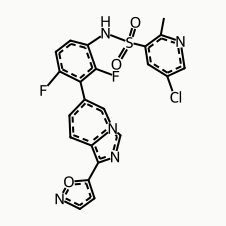 Cc1ncc(Cl)cc1S(=O)(=O)Nc1ccc(F)c(-c2ccc3c(-c4ccno4)ncn3c2)c1F